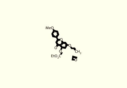 C1=COC1.C=CCOc1cc(OCC(=O)OCC)c2c(=O)cc(-c3ccc(OC)cc3)oc2c1